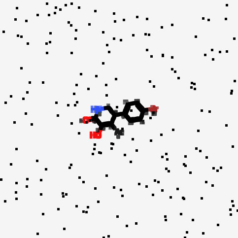 CC(=O)C1=C(O)C(=O)NCC1c1ccc(Br)cc1